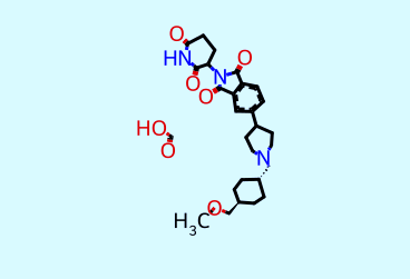 COC[C@H]1CC[C@H](CN2CCC(c3ccc4c(c3)C(=O)N(C3CCC(=O)NC3=O)C4=O)CC2)CC1.O=CO